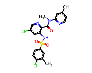 Cc1ccnc(N(C)C(=O)c2ncc(Cl)cc2NS(=O)(=O)c2ccc(Cl)c(C)c2)c1